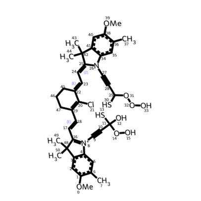 COc1cc2c(cc1C)[N+](C#CC(O)(S)OO)=C(/C=C/C1=C(Cl)C(=C/C=C3\N(C#CC(S)OOO)c4cc(C)c(OC)cc4C3(C)C)/CCC1)C2(C)C